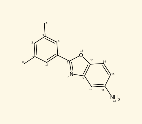 Cc1cc(C)cc(-c2nc3cc(N)ccc3o2)c1